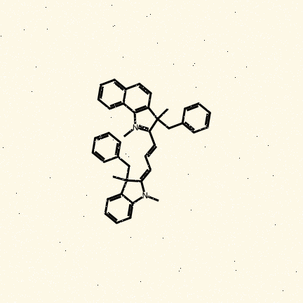 CN1/C(=C/C=C/C2=[N+](C)c3c(ccc4ccccc34)C2(C)Cc2ccccc2)C(C)(Cc2ccccc2)c2ccccc21